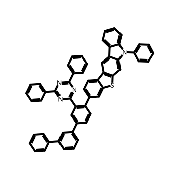 c1ccc(-c2cccc(-c3ccc(-c4ccc5c(c4)sc4cc6c(cc45)c4ccccc4n6-c4ccccc4)c(-c4nc(-c5ccccc5)nc(-c5ccccc5)n4)c3)c2)cc1